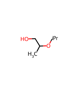 [CH2]C(C)OC(C)CO